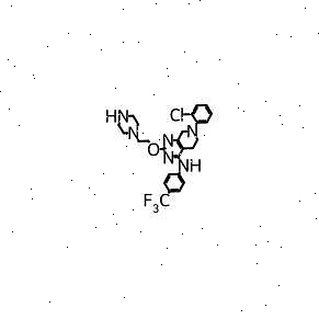 FC(F)(F)c1ccc(Nc2nc(OCCN3CCNCC3)nc3c2CCN(c2ccccc2Cl)C3)cc1